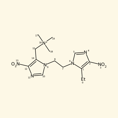 CCc1c([N+](=O)[O-])ncn1CCn1cnc([N+](=O)[O-])c1C[N+](C)(C)C